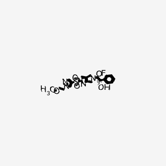 COCCn1cc(S(=O)(=O)n2cc3c(n2)CN(C(=O)[C@@H](CO)c2ccccc2F)C3)cn1